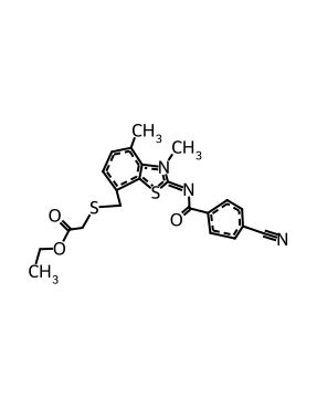 CCOC(=O)CSCc1ccc(C)c2c1sc(=NC(=O)c1ccc(C#N)cc1)n2C